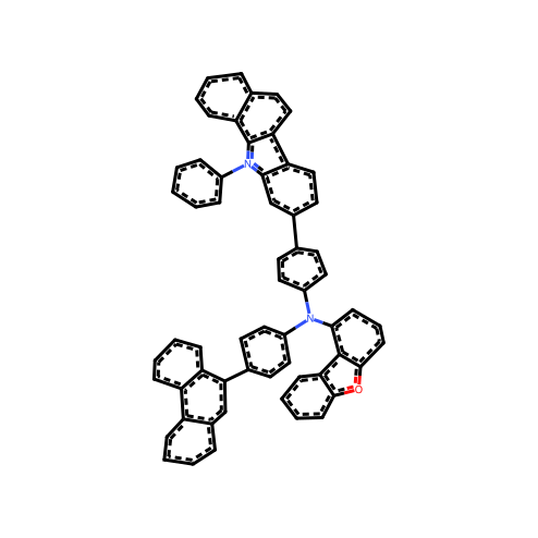 c1ccc(-n2c3cc(-c4ccc(N(c5ccc(-c6cc7ccccc7c7ccccc67)cc5)c5cccc6oc7ccccc7c56)cc4)ccc3c3ccc4ccccc4c32)cc1